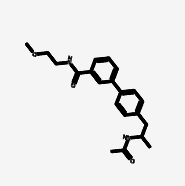 COCCNC(=O)c1cccc(-c2ccc(CC(C)NC(C)=O)cc2)c1